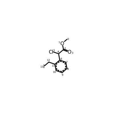 COC(=O)C(Cl)c1ccccc1CI